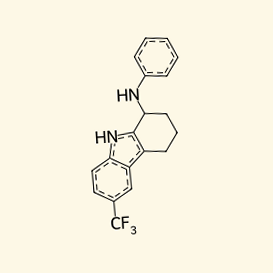 FC(F)(F)c1ccc2[nH]c3c(c2c1)CCCC3Nc1ccccc1